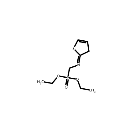 CCOP(=O)(CN=C1CC=CS1)OCC